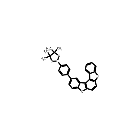 CC1(C)OB(c2ccc(-c3ccc4oc5ccc6sc7ccccc7c6c5c4c3)cc2)OC1(C)C